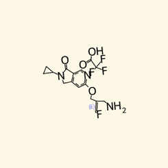 NC/C(=C\F)COc1cc2c(cn1)C(=O)N(C1CC1)C2.O=C(O)C(F)(F)F